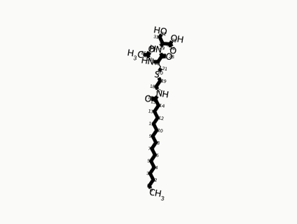 CCCCCCCCCCCCCCCC(=O)NCCSC[C@H](NC(C)=O)C(=O)NC(CO)C(=O)O